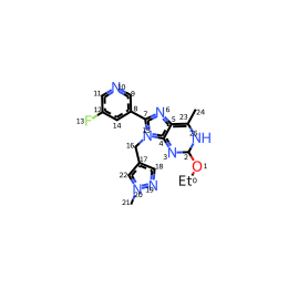 CCOC1N=c2c(nc(-c3cncc(F)c3)n2Cc2cnn(C)c2)=C(C)N1